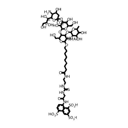 CC(=O)NC1C(OCCCCCCCCC(=O)NCCNC(=S)NCC(=O)Nc2ccc(S(=O)(=O)O)c3cc(S(=O)(=O)O)cc(S(=O)(=O)O)c23)OC(CO)C(OC2OC(CO)C(O)C(OC3(C(=O)O)CC(O)C(N)C([C@H](O)[C@H](O)CO)O3)C2O)C1OC1OC(C)C(O)C(O)C1O